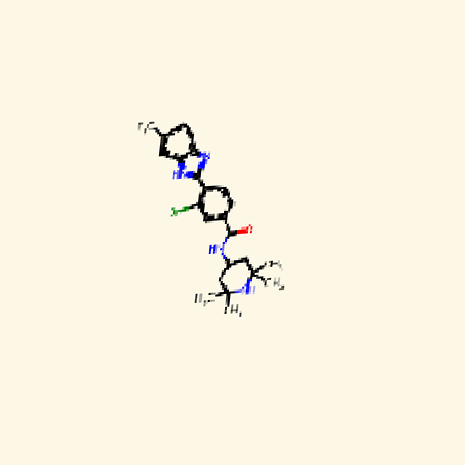 CC1(C)CC(NC(=O)c2ccc(-c3nc4ccc(C(F)(F)F)cc4[nH]3)c(Br)c2)CC(C)(C)N1